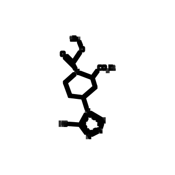 CCOC(=O)C1CC(n2nnnc2S)CCN1C(=O)OC(C)(C)C